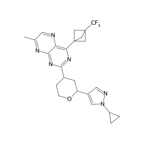 Cc1cnc2c(C34CC(C(F)(F)F)(C3)C4)nc(C3CCOC(c4cnn(C5CC5)c4)C3)nc2n1